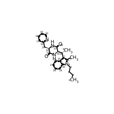 CCCCn1c(C)c([C@@H](C)[C@H]2NC(=O)[C@@H](Cc3ccccn3)NC2=O)c2ccccc21